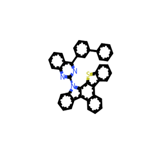 c1ccc(-c2cccc(-c3nc(-n4c5ccccc5c5c6ccccc6c6c7ccccc7sc6c54)nc4ccccc34)c2)cc1